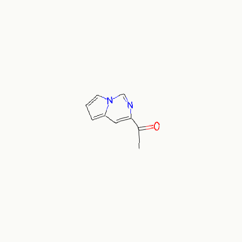 CC(=O)c1cc2cccn2cn1